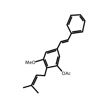 COc1cc(/C=C/c2ccccc2)cc(OC(C)=O)c1CC=C(C)C